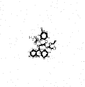 CCOC(C=O)N1C(=O)[C@@H](N(C(N)=O)c2cccc(C)c2)N=C(c2ccccc2F)c2ccccc21